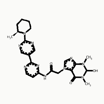 C[C@H]1CCCCN1c1ncc(-c2nccc(NC(=O)Cn3cnc4c3C(=O)N(C)C(O)N4C)n2)cn1